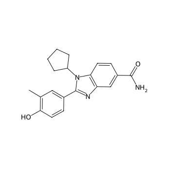 Cc1cc(-c2nc3cc(C(N)=O)ccc3n2C2CCCC2)ccc1O